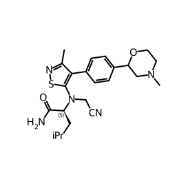 Cc1nsc(N(CC#N)[C@@H](CC(C)C)C(N)=O)c1-c1ccc(C2CN(C)CCO2)cc1